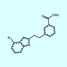 COC(=O)c1cccc(CCn2cc3c(Br)cccc3n2)c1